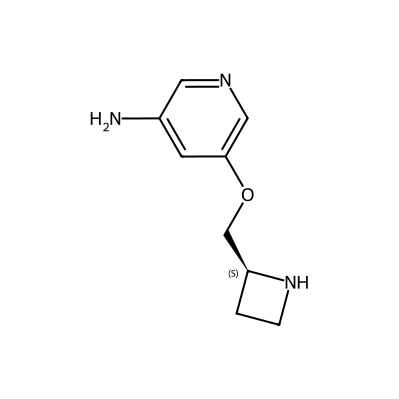 Nc1cncc(OC[C@@H]2CCN2)c1